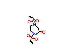 C=CS(=O)(=O)N1CCN(S(=O)(=O)C=C)CC(=O)C1